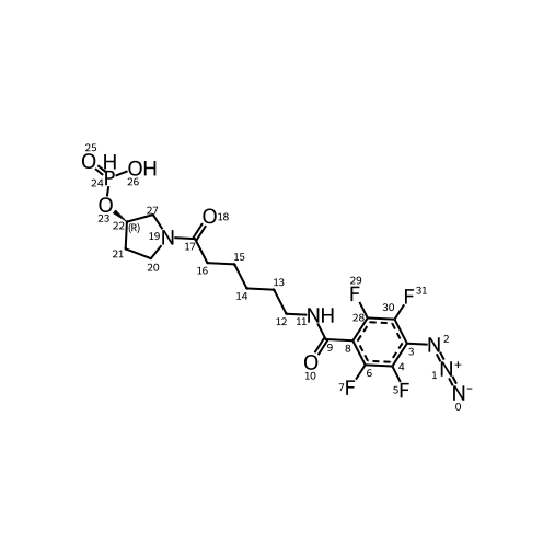 [N-]=[N+]=Nc1c(F)c(F)c(C(=O)NCCCCCC(=O)N2CC[C@@H](O[PH](=O)O)C2)c(F)c1F